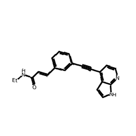 CCNC(=O)C=Cc1cccc(C#Cc2ccnc3[nH]ccc23)c1